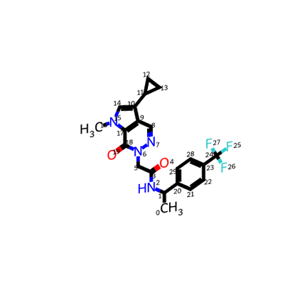 CC(NC(=O)Cn1ncc2c(C3CC3)cn(C)c2c1=O)c1ccc(C(F)(F)F)cc1